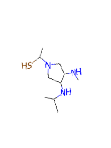 CNC1CN(C(C)S)CC1NC(C)C